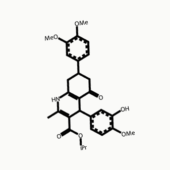 COc1ccc(C2C(C(=O)OC(C)C)=C(C)NC3=C2C(=O)CC(c2ccc(OC)c(OC)c2)C3)cc1O